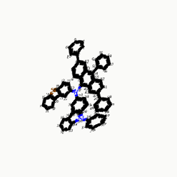 c1ccc(-c2ccc3c(N(c4ccc5sc6ccccc6c5c4)c4ccc5c(c4)c4ccccc4n5-c4ccccc4)c4cc(-c5ccccc5)ccc4c(-c4ccccc4)c3c2)cc1